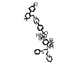 CC1(C)CCC(c2ccc(Cl)cc2)=C(CN2CCN(c3ccc(C(=O)NS(=O)(=O)c4ccc(N[C@H](CCN5CCCCC5)CSc5ccccc5)c(S(C)(=O)=O)c4)cc3)CC2)C1